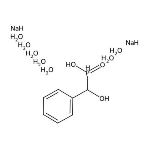 O.O.O.O.O.O.O.O=[PH](O)C(O)c1ccccc1.[NaH].[NaH]